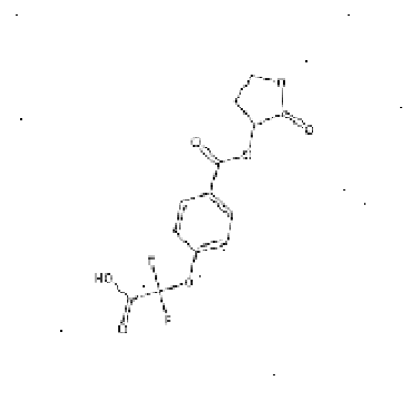 O=C(OC1CCOC1=O)c1ccc(OC(F)(F)C(=O)O)cc1